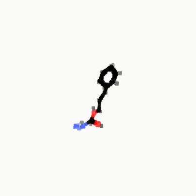 NC(=O)OC[CH]Cc1ccccc1